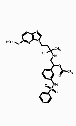 CC(C)(CCn1cnc2ccc(OC(=O)O)nc21)NCC(OC(=O)C(F)(F)F)c1cccc(NS(=O)(=O)c2ccccc2)c1